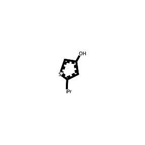 CC(C)c1cc(O)cs1